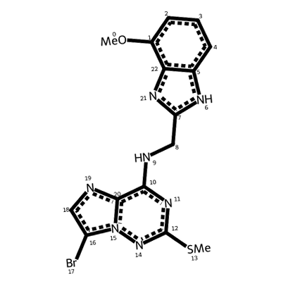 COc1cccc2[nH]c(CNc3nc(SC)nn4c(Br)cnc34)nc12